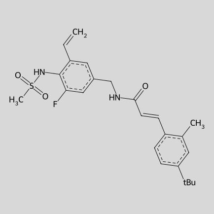 C=Cc1cc(CNC(=O)/C=C/c2ccc(C(C)(C)C)cc2C)cc(F)c1NS(C)(=O)=O